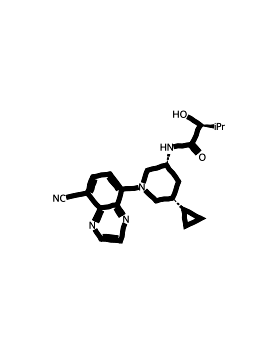 CC(C)[C@H](O)C(=O)N[C@@H]1C[C@H](C2CC2)CN(c2ccc(C#N)c3nccnc23)C1